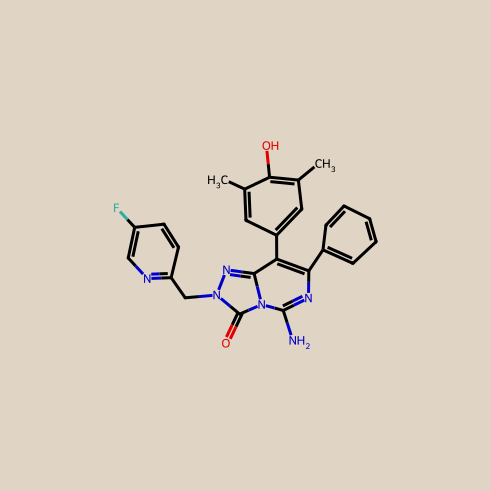 Cc1cc(-c2c(-c3ccccc3)nc(N)n3c(=O)n(Cc4ccc(F)cn4)nc23)cc(C)c1O